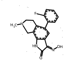 CN1CCc2c(-c3ccccc3F)cc3c(c2C1)NC(=O)/C3=N/O